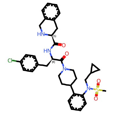 CS(=O)(=O)N(CC1CC1)c1ccccc1C1CCN(C(=O)[C@@H](Cc2ccc(Cl)cc2)NC(=O)[C@@H]2Cc3ccccc3CN2)CC1